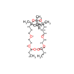 CCC(=O)OCCOCCC[Si](C)(C)O[Si](C)(C)O[Si](C)(C)CCCOCCOC(=O)CC